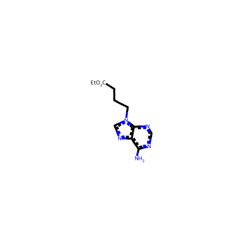 CCOC(=O)CCCn1cnc2c(N)ncnc21